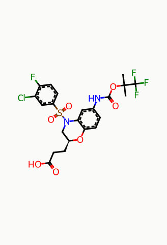 CC(C)(OC(=O)Nc1ccc2c(c1)N(S(=O)(=O)c1ccc(F)c(Cl)c1)C[C@H](CCC(=O)O)O2)C(F)(F)F